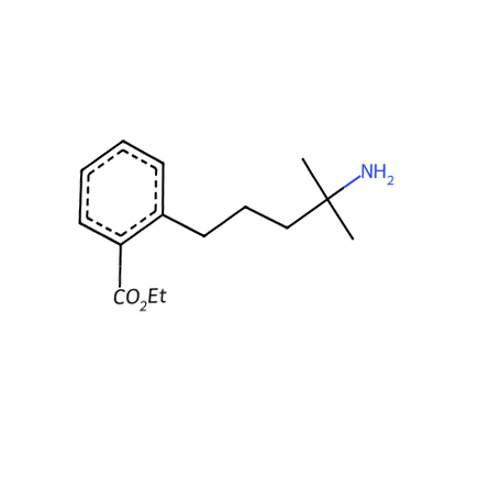 CCOC(=O)c1ccccc1CCCC(C)(C)N